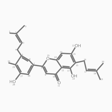 CC(C)=CCc1cc(-c2cc(=O)c3c(O)c(CC=C(C)C)c(O)cc3o2)cc(O)c1C